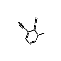 CN1C=NC=C(C#N)C1=C=O